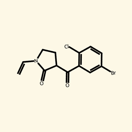 C=CN1CCC(C(=O)c2cc(Br)ccc2Cl)C1=O